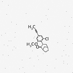 CC#Cc1cc(Cl)c(C2CC3CCC(C3)C2=O)c(OC)c1